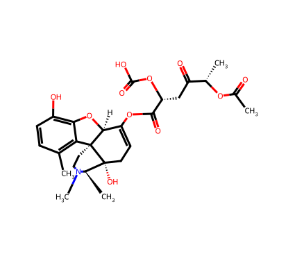 CC(=O)O[C@@H](C)C(=O)C[C@@H](OC(=O)O)C(=O)OC1=CC[C@@]2(O)[C@@H](C)N(C)CC[C@@]23c2c(C)ccc(O)c2O[C@@H]13